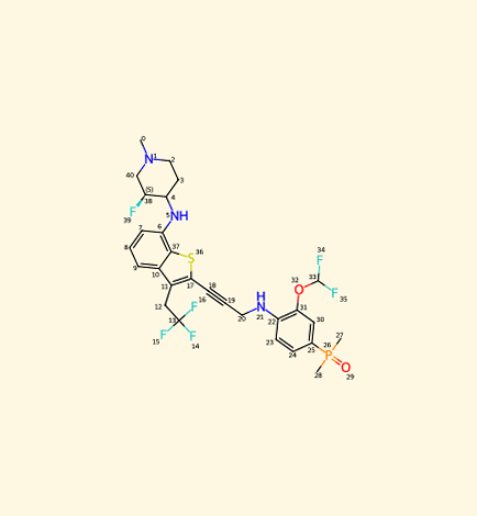 CN1CCC(Nc2cccc3c(CC(F)(F)F)c(C#CCNc4ccc(P(C)(C)=O)cc4OC(F)F)sc23)[C@@H](F)C1